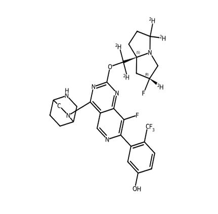 [2H]C1([2H])CC[C@@]2(C([2H])([2H])Oc3nc(N4CC5CCC4CN5)c4cnc(-c5cc(O)ccc5C(F)(F)F)c(F)c4n3)C[C@@]([2H])(F)CN12